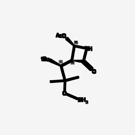 CC(=O)O[C@H]1NC(=O)[C@@H]1[C@H](C(C)(C)C)C(C)(C)O[SiH3]